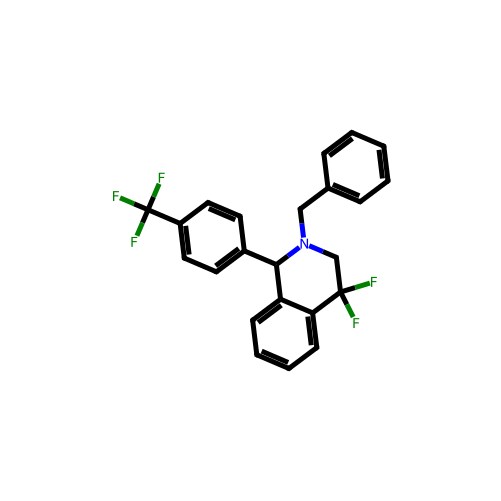 FC(F)(F)c1ccc(C2c3ccccc3C(F)(F)CN2Cc2ccccc2)cc1